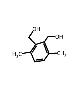 Cc1ccc(C)c(CO)c1CO